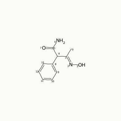 CC(=NO)C(C(N)=O)c1ccccc1